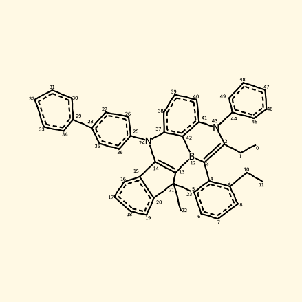 CCC1=C(c2ccccc2CC)B2C3=C(c4ccccc4C3(C)C)N(c3ccc(-c4ccccc4)cc3)c3cccc(c32)N1c1ccccc1